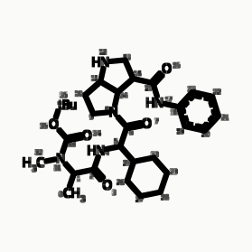 CC(C(=O)NC(C(=O)N1CCC2NCC(C(=O)Nc3ccccc3)C21)C1CCCCC1)N(C)C(=O)OC(C)(C)C